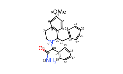 COc1ccc2c(c1)CCN(C(C(N)=O)c1ccccc1)C2Cc1ccccc1